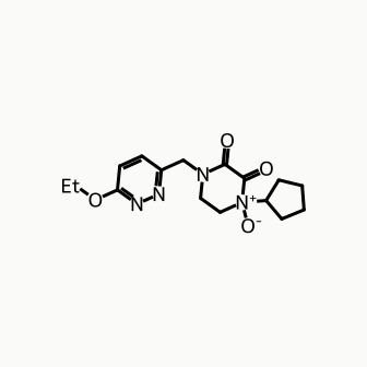 CCOc1ccc(CN2CC[N+]([O-])(C3CCCC3)C(=O)C2=O)nn1